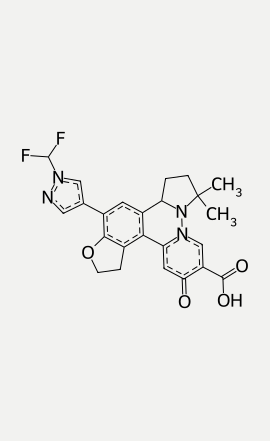 CC1(C)CCC2c3cc(-c4cnn(C(F)F)c4)c4c(c3-c3cc(=O)c(C(=O)O)cn3N21)CCO4